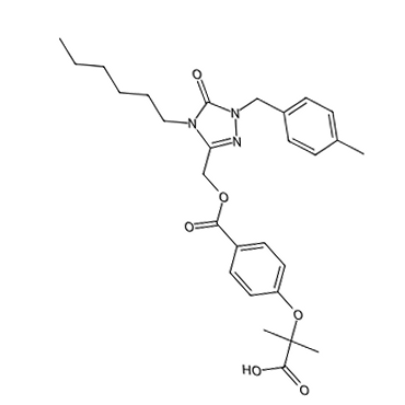 CCCCCCn1c(COC(=O)c2ccc(OC(C)(C)C(=O)O)cc2)nn(Cc2ccc(C)cc2)c1=O